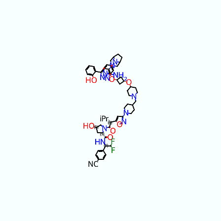 CC(C)[C@@H](C(=O)N1C[C@H](O)C[C@H]1C(=O)N[C@H](c1ccc(C#N)cc1)C(F)F)c1cc(N2CCC(CN3CCC(O[C@H]4C[C@H](Oc5cc(N6C7CCC6CN(c6cc(-c8ccccc8O)nnc6N)C7)ccn5)C4)CC3)CC2)no1